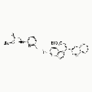 CCOC(=O)C=C(c1cnc2ccccc2c1)n1ccc2cc(OCCc3cccc(NCC(=O)OC(C)(C)C)n3)ccc21